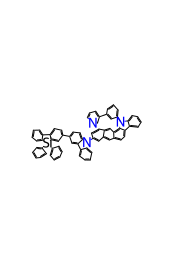 c1ccc([Si]2(c3ccccc3)c3ccccc3-c3ccc(-c4ccc5c(c4)c4ccccc4n5-c4ccc5cc6c(ccc7c8ccccc8n(-c8cccc(-c9cccnc9)c8)c67)cc5c4)cc32)cc1